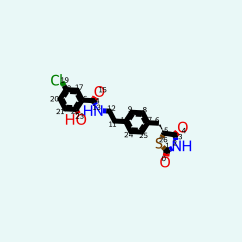 O=C1NC(=O)[C@@H](Cc2ccc(CCNC(=O)c3cc(Cl)ccc3O)cc2)S1